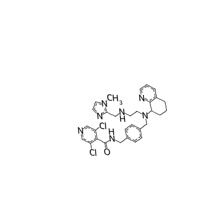 Cn1ccnc1CNCCN(Cc1ccc(CNC(=O)c2c(Cl)cncc2Cl)cc1)C1CCCc2cccnc21